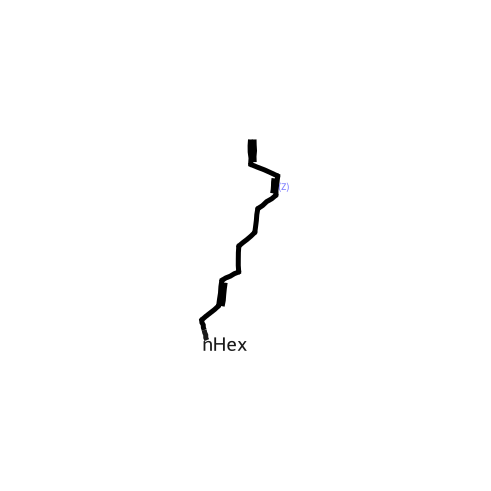 C=C/C=C\CCCCC=CCCCCCCC